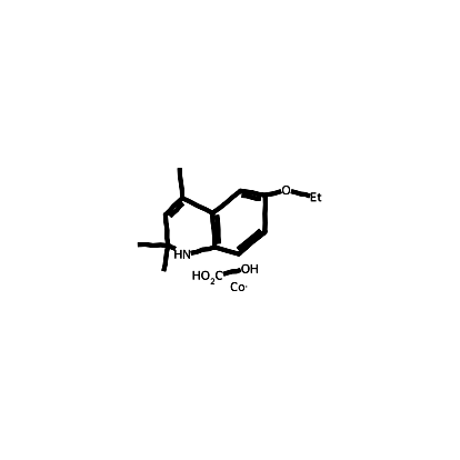 CCOc1ccc2c(c1)C(C)=CC(C)(C)N2.O=C(O)O.[Co]